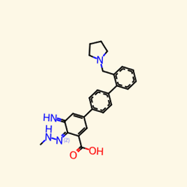 CN/N=C1\C(=N)C=C(c2ccc(-c3ccccc3CN3CCCC3)cc2)C=C1C(=O)O